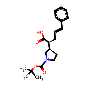 CC(C)(C)OC(=O)N1CC[C@H]([C@H](C/C=C/c2ccccc2)C(=O)O)C1